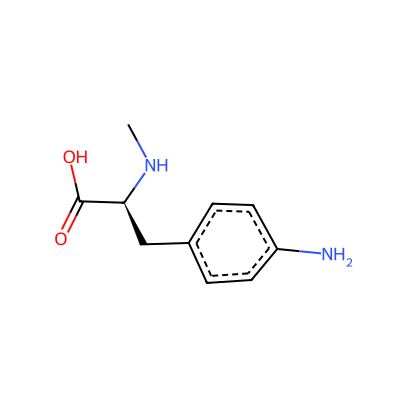 CN[C@@H](Cc1ccc(N)cc1)C(=O)O